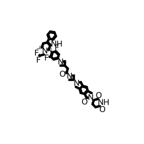 C[C@@H]1Cc2c([nH]c3ccccc23)[C@@H](c2c(F)cc(N3CC(CC(=O)N4CC(N5Cc6cc7c(cc6C5)C(=O)N(C5CCC(=O)NC5=O)C7)C4)C3)cc2F)N1CC(F)F